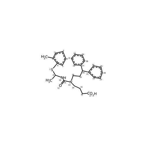 Cc1ccccc1SC(C)NC(=O)N(CCCC(=O)O)CCC(c1ccccc1)c1ccccc1